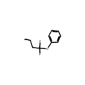 CCCC(F)(F)Oc1cc[c]cc1